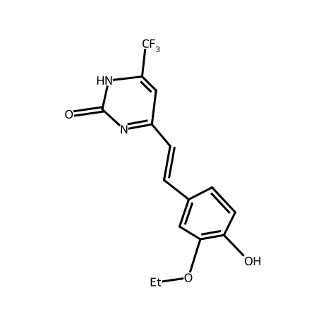 CCOc1cc(C=Cc2cc(C(F)(F)F)[nH]c(=O)n2)ccc1O